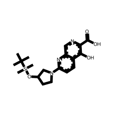 CC(C)(C)[Si](C)(C)OC1CCN(c2ccc3c(O)c(C(=O)O)ncc3n2)C1